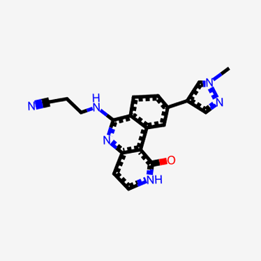 Cn1cc(-c2ccc3c(NCCC#N)nc4cc[nH]c(=O)c4c3c2)cn1